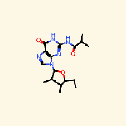 CCC1OC(n2cnc3c(=O)[nH]c(NC(=O)C(C)C)nc32)C(C)C1C